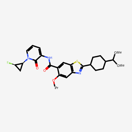 COC(OC)C1CCC(c2nc3cc(OC(C)C)c(C(=O)Nc4cccn([C@H]5C[C@H]5F)c4=O)cc3s2)CC1